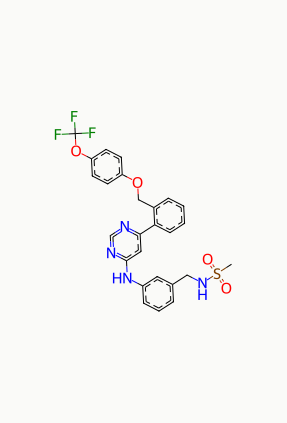 CS(=O)(=O)NCc1cccc(Nc2cc(-c3ccccc3COc3ccc(OC(F)(F)F)cc3)ncn2)c1